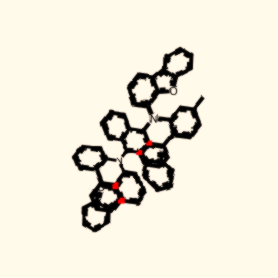 Cc1ccc(-c2ccccc2)c(N(c2cccc3c2oc2ccccc23)c2c3ccccc3c(N(c3ccccc3-c3ccccc3)c3cccc4c3oc3ccccc34)c3c2sc2ccccc23)c1